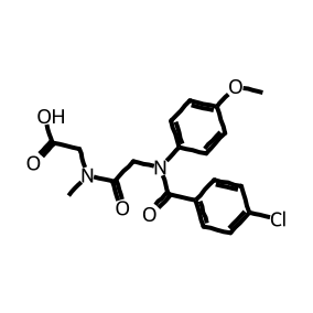 COc1ccc(N(CC(=O)N(C)CC(=O)O)C(=O)c2ccc(Cl)cc2)cc1